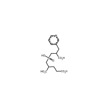 O=C(O)CCC(CP(=O)(O)CC(Cc1cccnc1)C(=O)O)C(=O)O